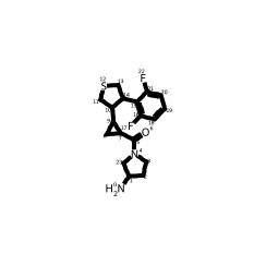 NC1CCN(C(=O)C2CC2C2CSCC2c2c(F)cccc2F)C1